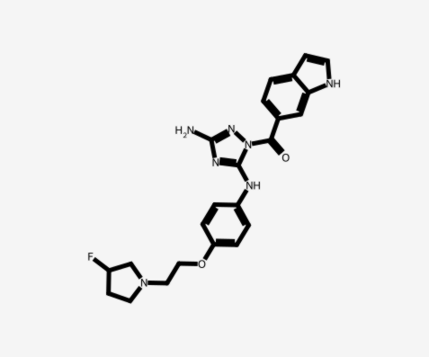 Nc1nc(Nc2ccc(OCCN3CCC(F)C3)cc2)n(C(=O)c2ccc3cc[nH]c3c2)n1